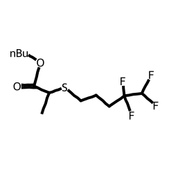 CCCCOC(=O)C(C)SCCCC(F)(F)C(F)F